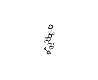 C[C@H](Nc1ncc(-n2nncc2C2CC2)s1)c1cc2cc(Cl)c(OCc3ccccn3)cc2[nH]c1=O